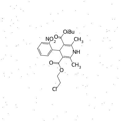 CC1=C(C(=O)OCCCl)C(c2ccccc2[N+](=O)[O-])C(C(=O)OCC(C)C)=C(C)N1